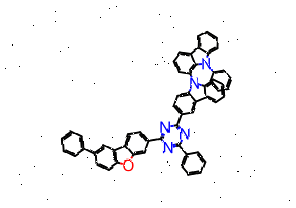 c1ccc(-c2ccc3oc4cc(-c5nc(-c6ccccc6)nc(-c6ccc7c(c6)c6ccccc6n7-c6cccc7c8ccccc8n(-c8ccccc8)c67)n5)ccc4c3c2)cc1